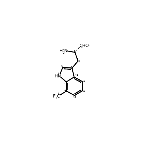 N[C@H]([C]=O)Cc1c[nH]c2c(C(F)(F)F)cccc12